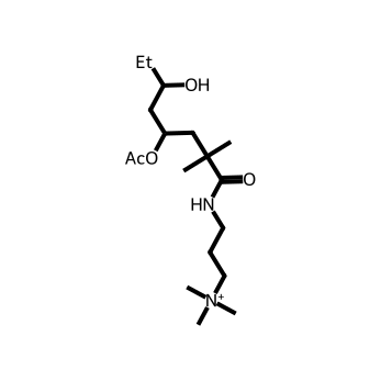 CCC(O)CC(CC(C)(C)C(=O)NCCC[N+](C)(C)C)OC(C)=O